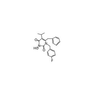 CC(C)c1c(Cc2ccccc2)n(Cc2ccc(F)cc2)c(=O)n(O)c1=O